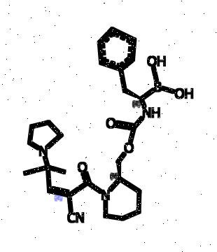 CC(C)(/C=C(/C#N)C(=O)N1CCCC[C@@H]1COC(=O)N[C@@H](Cc1ccccc1)B(O)O)N1CCCC1